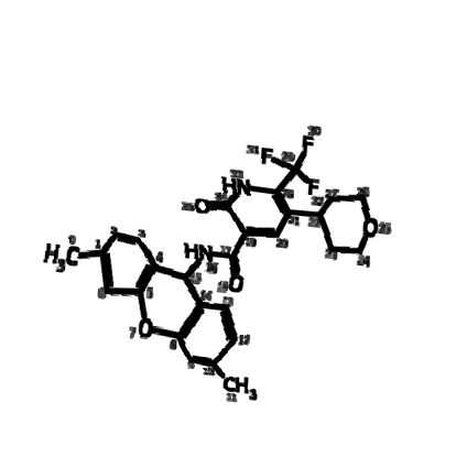 Cc1ccc2c(c1)Oc1cc(C)ccc1C2NC(=O)c1cc(C2CCOCC2)c(C(F)(F)F)[nH]c1=O